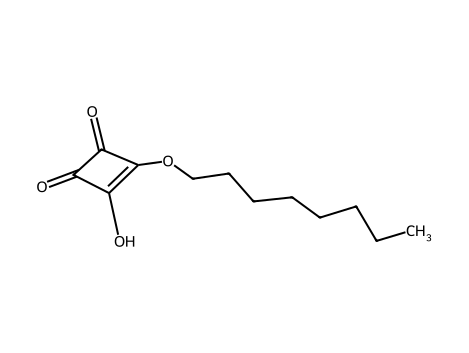 CCCCCCCCOc1c(O)c(=O)c1=O